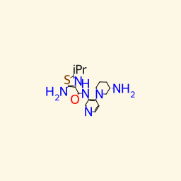 CC(C)c1nc(C(=O)Nc2cnccc2N2CCC[C@H](N)C2)c(N)s1